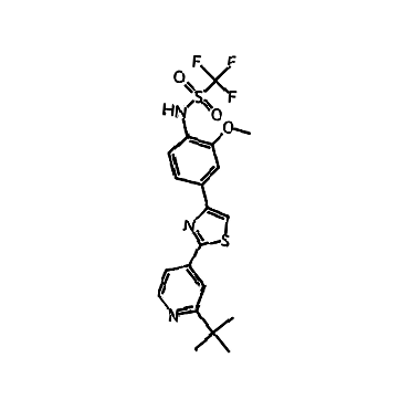 COc1cc(-c2csc(-c3ccnc(C(C)(C)C)c3)n2)ccc1NS(=O)(=O)C(F)(F)F